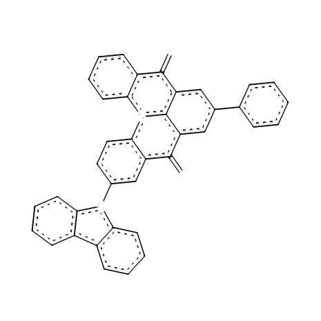 O=c1c2ccccc2n2c3ccc(-n4c5ccccc5c5ccccc54)cc3c(=O)c3cc(-c4ccccc4)cc1c32